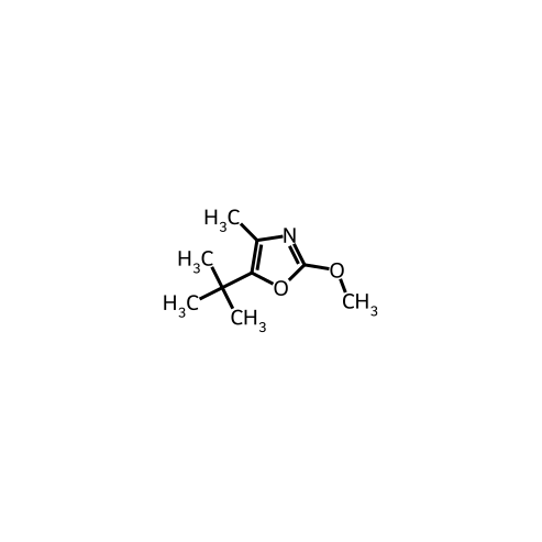 COc1nc(C)c(C(C)(C)C)o1